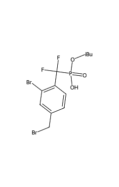 CCC(C)OP(=O)(O)C(F)(F)c1ccc(CBr)cc1Br